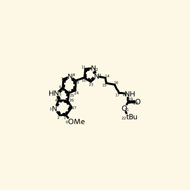 COc1cnc2[nH]c3cnc(-c4cnn(CCCCNC(=O)OC(C)(C)C)c4)cc3c2c1